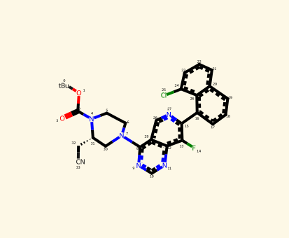 CC(C)(C)OC(=O)N1CCN(c2ncnc3c(F)c(-c4cccc5cccc(Cl)c45)ncc23)C[C@@H]1CC#N